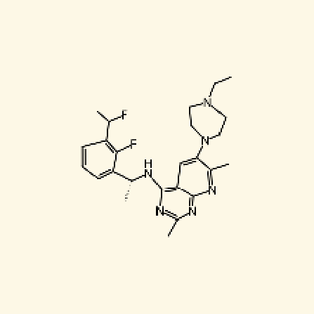 CCN1CCN(c2cc3c(N[C@H](C)c4cccc(C(C)F)c4F)nc(C)nc3nc2C)CC1